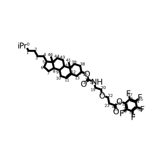 CC(C)CCCCC1CCC2C3CC=C4CC(OC(=O)NCCOCCC(=O)Oc5c(F)c(F)c(F)c(F)c5F)CCC4(C)C3CCC12C